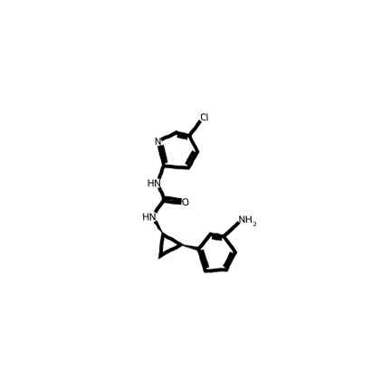 Nc1cccc([C@H]2C[C@H]2NC(=O)Nc2ccc(Cl)cn2)c1